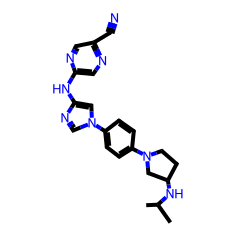 CC(C)NC1CCN(c2ccc(-n3cnc(Nc4cnc(C#N)cn4)c3)cc2)C1